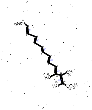 CCCCCCCCC/C=C/C=C/C=C/C=C/C=C(O)/C(O)=C(\O)C(=O)O